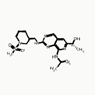 CC(C)Nc1nc([C@@H](C)O)cc2cnc(NCC3CCCN(S(C)(=O)=O)C3)nc12